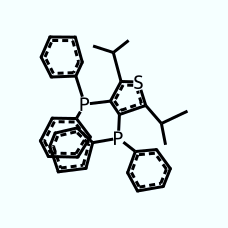 CC(C)c1sc(C(C)C)c(P(c2ccccc2)c2ccccc2)c1P(c1ccccc1)c1ccccc1